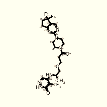 CC(COCCC(=O)N1CCN(c2ncc3c(n2)CCC3(F)F)CC1)Nc1cn[nH]c(=O)c1C(F)(F)F